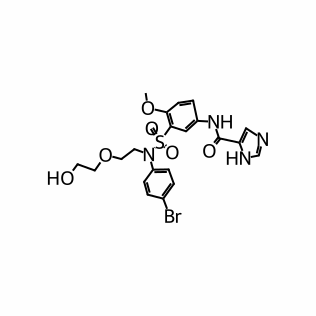 COc1ccc(NC(=O)c2cnc[nH]2)cc1S(=O)(=O)N(CCOCCO)c1ccc(Br)cc1